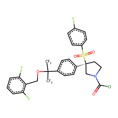 O=C(Cl)N1CC[C@](c2ccc(C(OCc3c(F)cccc3F)(C(F)(F)F)C(F)(F)F)cc2)(S(=O)(=O)c2ccc(F)cc2)C1